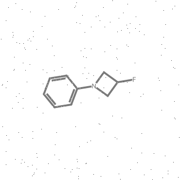 FC1CN(c2[c]cccc2)C1